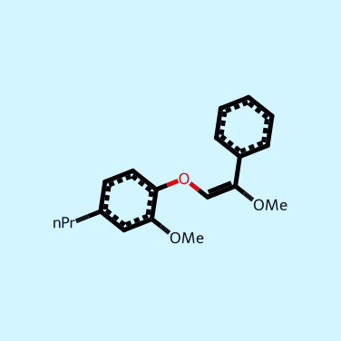 CCCc1ccc(OC=C(OC)c2ccccc2)c(OC)c1